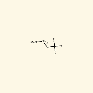 CO[SiH2]CC(F)(F)F